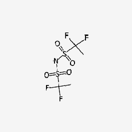 CC(F)(F)S(=O)(=O)[N]S(=O)(=O)C(C)(F)F